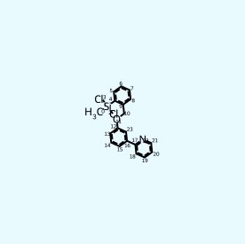 C[Si](Cl)(Cl)c1ccccc1COc1cccc(-c2ccccn2)c1